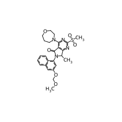 COCOc1cc(N2C(=O)c3c(nc(S(C)(=O)=O)nc3N3CCCOCC3)C2C)c2ccccc2c1